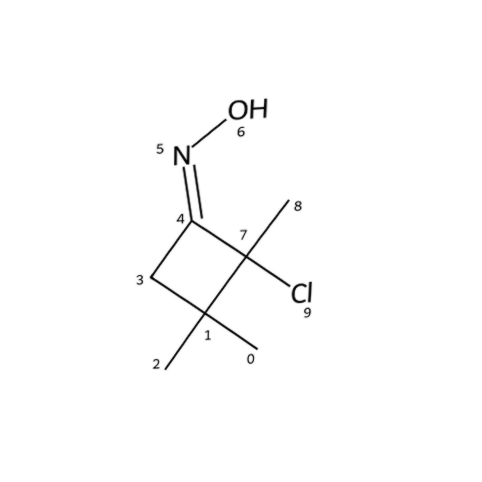 CC1(C)CC(=NO)C1(C)Cl